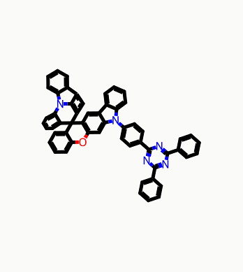 c1ccc(-c2nc(-c3ccccc3)nc(-c3ccc(-n4c5ccccc5c5cc6c(cc54)Oc4ccccc4C64c5ccccc5-n5c6ccccc6c6cccc4c65)cc3)n2)cc1